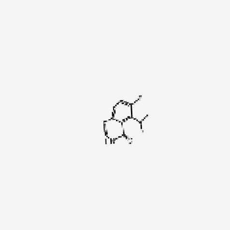 CC(C)c1c(F)ccc2cc[nH]c(=O)c12